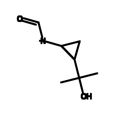 CC(C)(O)C1CC1[N]C=O